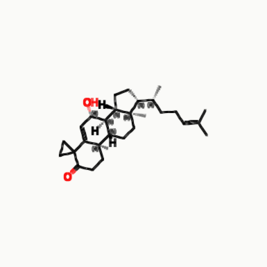 CC(C)=CCC[C@@H](C)[C@H]1CC[C@H]2[C@@H]3[C@@H](O)C=C4C5(CC5)C(=O)CC[C@]4(C)[C@H]3CC[C@]12C